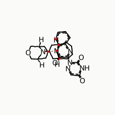 O=c1cnn(-c2nc3ccccc3n([C@H]3C[C@H]4COC[C@@H](C3)N4[C@@H]3C[C@@H]4CCCC[C@@H](C4)C3)c2=O)c(=O)[nH]1